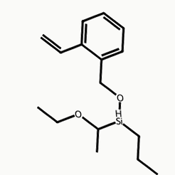 C=Cc1ccccc1CO[SiH](CCC)C(C)OCC